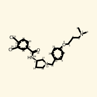 CN(C)CCCOc1ccc(CN2CC[C@@H](NC(=O)c3ccc(Cl)c(Cl)c3)C2)cc1